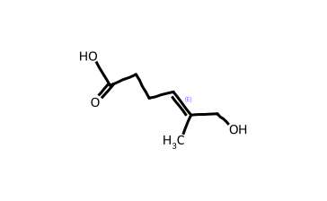 C/C(=C\CCC(=O)O)CO